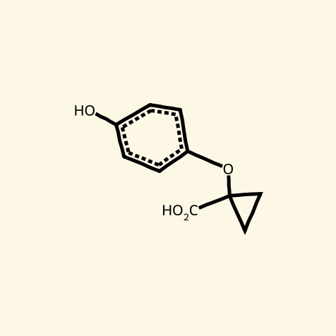 O=C(O)C1(Oc2ccc(O)cc2)CC1